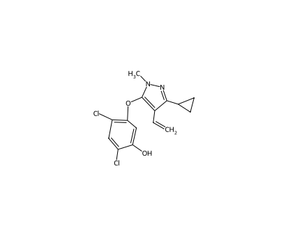 C=Cc1c(C2CC2)nn(C)c1Oc1cc(O)c(Cl)cc1Cl